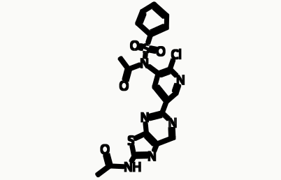 CC(=O)Nc1nc2cnc(-c3cnc(Cl)c(N(C(C)=O)S(=O)(=O)c4ccccc4)c3)nc2s1